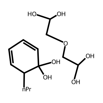 CCCC1C=CC=CC1(O)O.OC(O)COCC(O)O